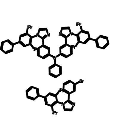 CC(C)c1cc(-c2ccccc2)cc(C(C)C)c1-n1ccnc1-c1cccc(Br)c1.CC(C)c1cc(-c2ccccc2)cc(C(C)C)c1-n1ccnc1-c1cccc(N(c2ccccc2)c2cccc(-c3nccn3-c3c(C(C)C)cc(-c4ccccc4)cc3C(C)C)c2)c1